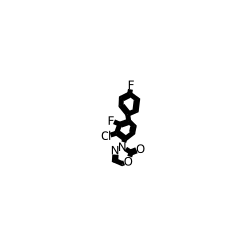 O=C1OCC=NN1c1ccc(-c2ccc(F)cc2)c(F)c1Cl